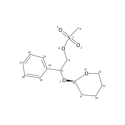 CS(=O)(=O)OCC(O[C@@H]1CCCCO1)c1ccccc1